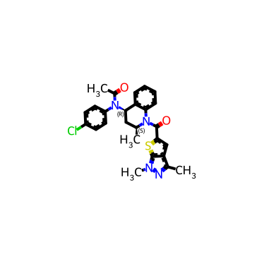 CC(=O)N(c1ccc(Cl)cc1)[C@@H]1C[C@H](C)N(C(=O)c2cc3c(C)nn(C)c3s2)c2ccccc21